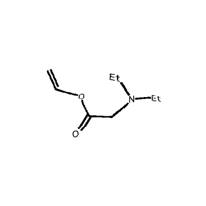 C=COC(=O)CN(CC)CC